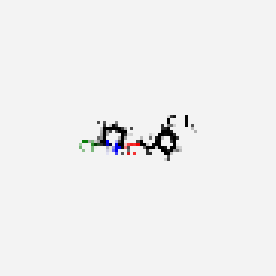 Cc1cccc(CCOc2cccc(Cl)n2)c1